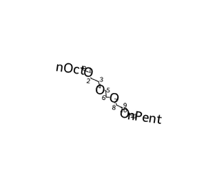 CCCCCCCCOCCOCCOCCOCCCCC